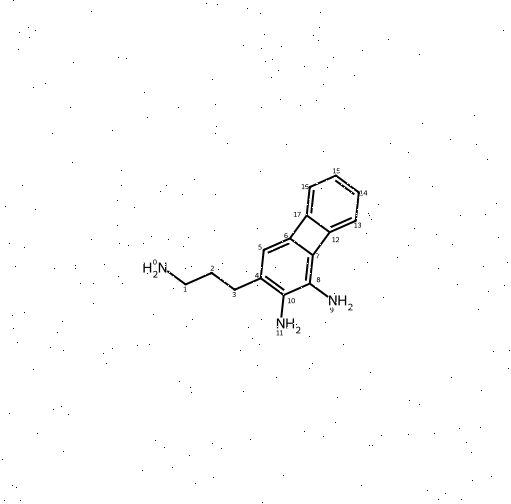 NCCCc1cc2c(c(N)c1N)-c1ccccc1-2